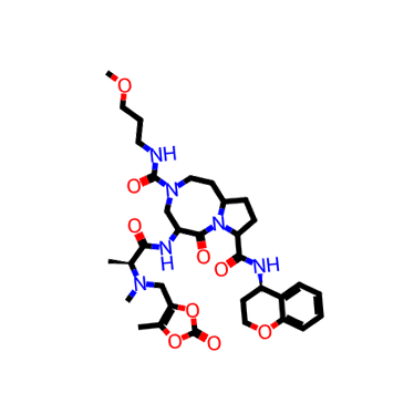 COCCCNC(=O)N1CCC2CCC(C(=O)N[C@@H]3CCOc4ccccc43)N2C(=O)C(NC(=O)[C@H](C)N(C)Cc2oc(=O)oc2C)C1